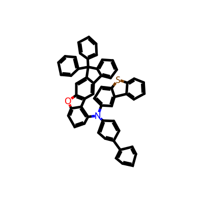 c1ccc(-c2ccc(N(c3ccc4sc5ccccc5c4c3)c3cccc4oc5cc6c(cc5c34)-c3ccccc3C6(c3ccccc3)c3ccccc3)cc2)cc1